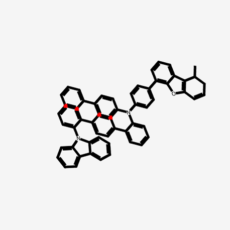 CC1CC=Cc2oc3c(-c4ccc(N(c5ccc(-c6ccccc6)cc5)c5ccccc5-c5ccc(-c6ccccc6-n6c7ccccc7c7ccccc76)cc5)cc4)cccc3c21